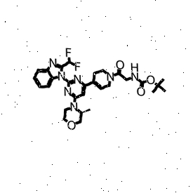 C[C@H]1COCCN1c1cc(C2=CCN(C(=O)CNC(=O)OC(C)(C)C)CC2)nc(-n2c(C(F)F)nc3ccccc32)n1